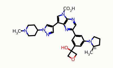 C[C@@H]1CCCN1c1cc(-c2cnc3c(n2)c(-c2cnn(C4CCN(C)CC4)c2)cn3C(=O)O)cc(C2(O)COC2)c1